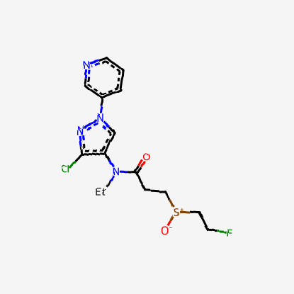 CCN(C(=O)CC[S+]([O-])CCF)c1cn(-c2cccnc2)nc1Cl